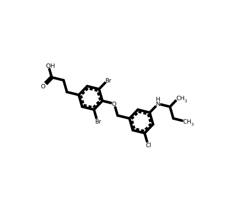 CCC(C)Nc1cc(Cl)cc(COc2c(Br)cc(CCC(=O)O)cc2Br)c1